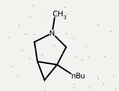 CCCCC12CC1CN(C)C2